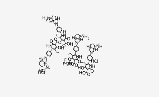 CCc1c(-c2ccc(N3C[C@H]4CCCC[C@@]4(CN(C)C)C3)cc2)[nH]c(=O)c(C(=O)Oc2c(CC)c(-c3ccc(N4C[C@H]5CC[C@H](N)[C@H]5C4)cc3)[nH]c(=O)c2C(=O)O)c1O.CCc1c(-c2ccc(N3C[C@H]4CC[C@@H](N)[C@H]4C3)cc2)[nH]c(=O)c(C(=O)O)c1OC(=O)C(F)(F)F.CCc1c(-c2ccc(N3C[C@H]4CC[C@H](NC)[C@H]4C3)cc2)[nH]c(=O)c(C(=O)O)c1O.Cl.Cl.Cl